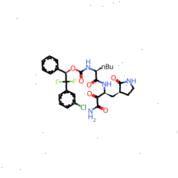 CCCC[C@H](NC(=O)O[C@H](c1ccccc1)C(F)(F)c1cccc(Cl)c1)C(=O)N[C@@H](C[C@@H]1CCNC1=O)C(=O)C(N)=O